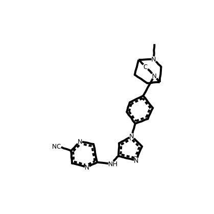 CN1CC2CCC1CN2c1ccc(-n2cnc(Nc3cnc(C#N)cn3)c2)cc1